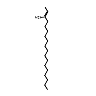 CC=C(O)CCCCCCCCCCCCCCC